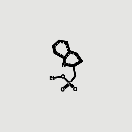 CCOS(=O)(=O)Cc1ccc2ccccc2n1